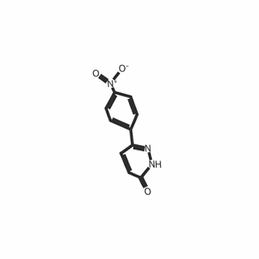 O=c1ccc(-c2ccc([N+](=O)[O-])cc2)n[nH]1